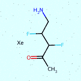 CC(=O)C(F)C(F)CN.[Xe]